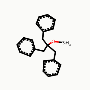 [SiH3]OC(Cc1ccccc1)(Cc1ccccc1)Cc1ccccc1